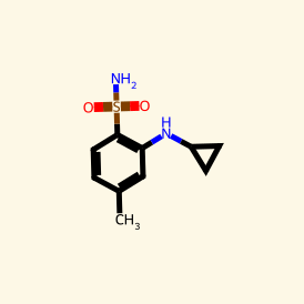 Cc1ccc(S(N)(=O)=O)c(NC2CC2)c1